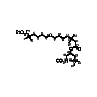 CCOC(=O)C(C)(C)CCCCOCCCCC(C)(C)CC(=O)OC(CC(=O)O)C[N+](C)(C)C